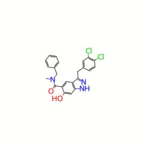 CN(Cc1ccccc1)C(=O)c1cc2c(Cc3ccc(Cl)c(Cl)c3)n[nH]c2cc1O